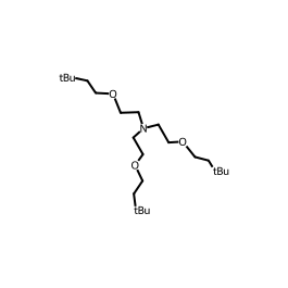 CC(C)(C)CCOCCN(CCOCCC(C)(C)C)CCOCCC(C)(C)C